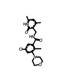 Cc1cc(C)c(CNC(=O)c2cc(Cl)cc(N3CCOCC3)c2C)c(=O)[nH]1